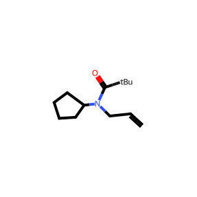 C=CCN(C(=O)C(C)(C)C)C1CCCC1